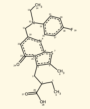 CCC(Cc1c(C)sc2nc(CN(CC)c3ccc(F)cc3)cc(=O)n12)C(=O)O